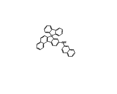 c1ccc2c(c1)-c1ccccc1[Si]21c2cc(Nc3ccc4ccccc4c3)ccc2-c2c1ccc1ccccc21